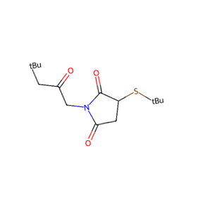 CC(C)(C)CC(=O)CN1C(=O)CC(SC(C)(C)C)C1=O